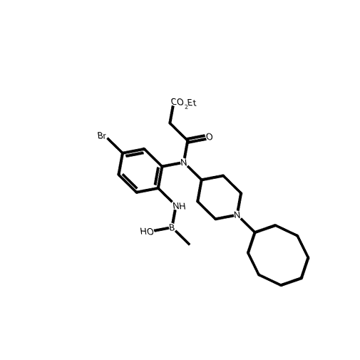 CCOC(=O)CC(=O)N(c1cc(Br)ccc1NB(C)O)C1CCN(C2CCCCCCC2)CC1